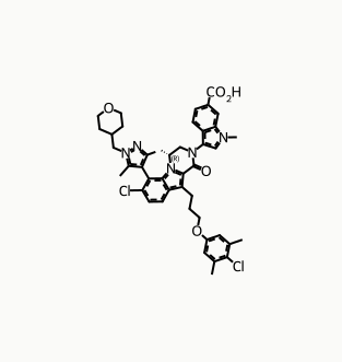 Cc1cc(OCCCc2c3n(c4c(-c5c(C)nn(CC6CCOCC6)c5C)c(Cl)ccc24)[C@H](C)CN(c2cn(C)c4cc(C(=O)O)ccc24)C3=O)cc(C)c1Cl